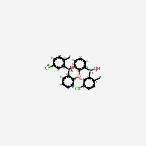 Cc1ccc(Cl)cc1B(O)c1ccccc1Oc1ccccc1B(O)c1cc(Cl)ccc1C